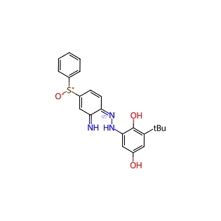 CC(C)(C)c1cc(O)cc(N/N=C2/C=CC([S+]([O-])c3ccccc3)=CC2=N)c1O